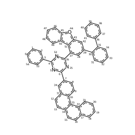 c1ccc(-c2nc(-c3ccc4c(ccc5ccc6ccccc6c54)c3)nc(-c3cc(-c4ccccc4-c4ccccc4)cc4oc5ccccc5c34)n2)cc1